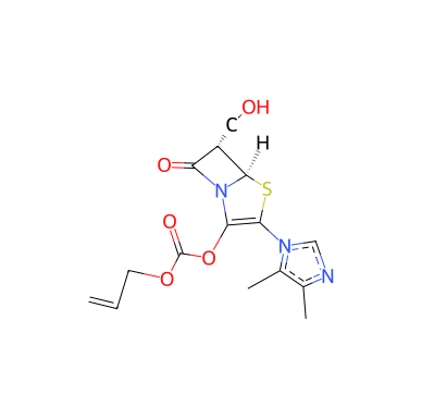 C=CCOC(=O)OC1=C(n2cnc(C)c2C)S[C@@H]2[C@@H](CO)C(=O)N12